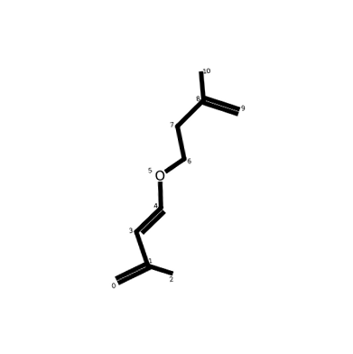 C=C(C)C=COCCC(=C)C